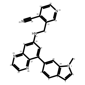 Cn1ccc2ccc(-c3cc(NCc4cnccc4C#N)cc4nccnc34)cc21